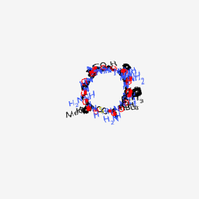 CCCC[C@H]1C(=O)N[C@@H](CCCN)C(=O)NCCSCC(=O)N[C@@H](Cc2ccc(OC)cc2)C(=O)N(C)CC(=O)N[C@@H](CCN)C(=O)N2CCCC2C(=O)N[C@@H](Cc2cnc[nH]2)C(=O)N[C@@H](CCC(=O)O)C(=O)N2CCCC2C(=O)N[C@@H](Cc2c[nH]c3ccccc23)C(=O)N[C@@H](CCN)C(=O)N[C@@H](Cc2c[nH]c3ccccc23)C(=O)N(C)CC(=O)N1C